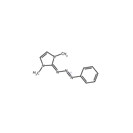 Cn1ccn(C)c1=N/N=N/c1ccccc1